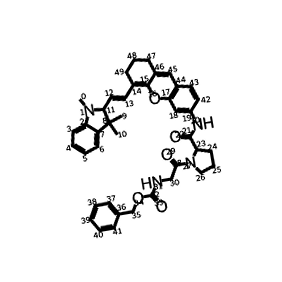 CN1c2ccccc2C(C)(C)C1/C=C/C1=C2Oc3cc(NC(=O)C4CCCN4C(=O)CNC(=O)OCc4ccccc4)ccc3C=C2CCC1